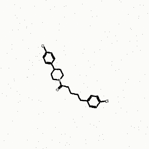 O=C(CCCCc1ccc(Cl)cc1)N1CCC(c2ccc(Cl)cc2)CC1